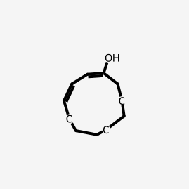 OC1=CC=CCCCCCCC1